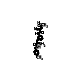 Cc1ccc(CNC(=O)C(N)Cc2cccc(NC(=O)C(C#N)=CC(C)C)c2)cc1